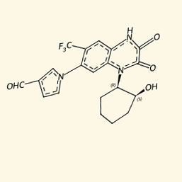 O=Cc1ccn(-c2cc3c(cc2C(F)(F)F)[nH]c(=O)c(=O)n3[C@@H]2CCCC[C@@H]2O)c1